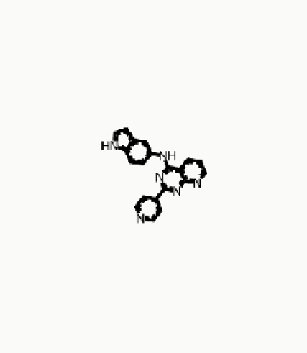 c1cnc2nc(-c3ccncc3)nc(Nc3ccc4[nH]ccc4c3)c2c1